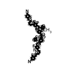 CC1(C)COCC1n1c(Cc2c(F)cc(-c3cccc(OCc4ccc(C#N)cc4F)n3)c(F)c2F)nc2ccc(C(=O)OC(=O)c3ccc4nc(Cc5c(F)cc(-c6cccc(OCc7ccc(C#N)cc7F)n6)c(F)c5F)n(C5COCC5(C)C)c4c3)cc21